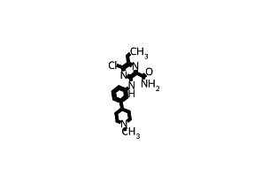 CCc1nc(C(N)=O)c(Nc2cccc(C3CCN(C)CC3)c2)nc1Cl